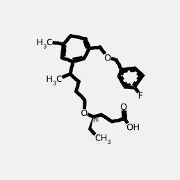 CC[C@H](CCC(=O)O)OCCCC(C)C1=CC(COCc2ccc(F)cc2)=CCC(C)=C1